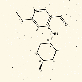 CSc1ncc(C=O)c(N[C@H]2CC[C@H](C)CC2)n1